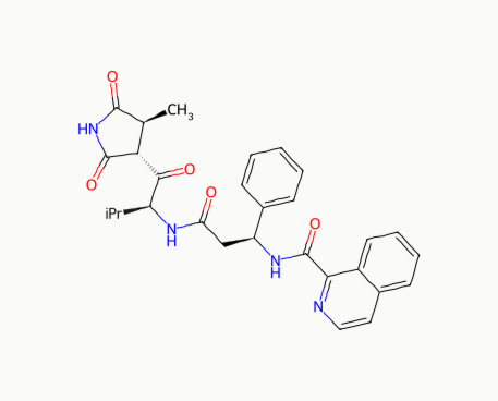 CC(C)[C@H](NC(=O)C[C@H](NC(=O)c1nccc2ccccc12)c1ccccc1)C(=O)[C@@H]1C(=O)NC(=O)[C@H]1C